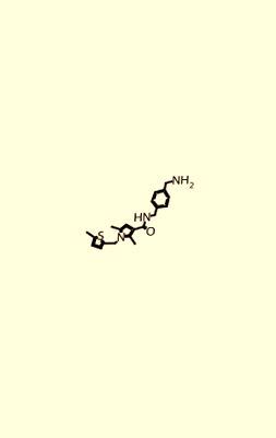 Cc1ccc(Cn2c(C)cc(C(=O)NCc3ccc(CN)cc3)c2C)s1